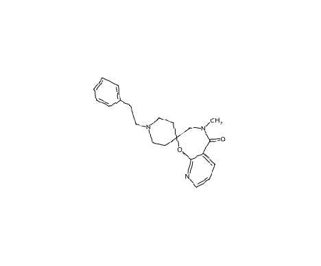 CN1CC2(CCN(CCc3ccccc3)CC2)Oc2ncccc2C1=O